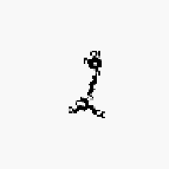 N#Cc1ccc(OCCCCCOC2=COC(CO)=CC2CC=C=O)cc1F